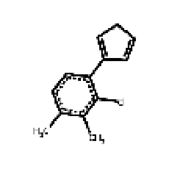 Cc1ccc(C2=CCC=C2)c(Cl)c1C